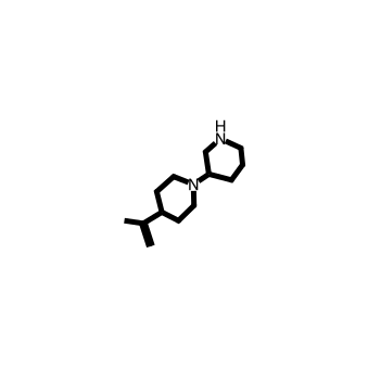 C=C(C)C1CCN(C2CCCNC2)CC1